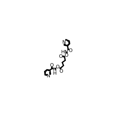 O=C(CCCC(=O)ONC(=O)c1cccnc1)ONC(=O)c1cccnc1